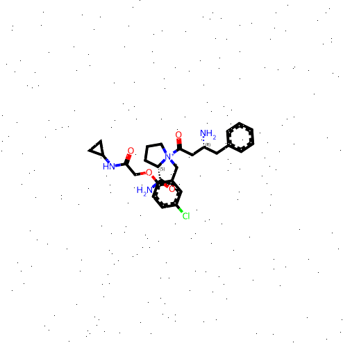 NC(=O)[C@@H]1CCC[N+]1(Cc1cc(Cl)ccc1OCC(=O)NC1CC1)C(=O)C[C@H](N)Cc1ccccc1